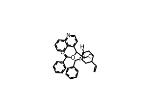 C=CC1C[N+]2(Cc3ccccc3)CCC1C[C@H]2C(OC(=O)c1ccccc1)c1ccnc2ccccc12